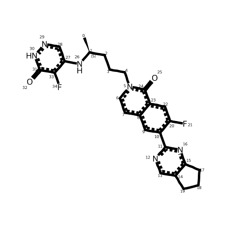 C[C@@H](CCCn1ccc2cc(-c3ncc4c(n3)CCC4)c(F)cc2c1=O)Nc1cn[nH]c(=O)c1F